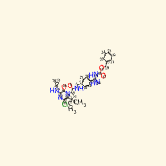 CC1(C)CC(C(=O)NCc2ccc(C(=N)NC(=O)OCc3ccccc3)cc2)n2c1c(Cl)nc(NC1CC1)c2=O